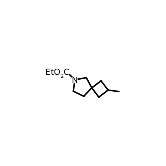 CCOC(=O)N1CCC2(CC(C)C2)C1